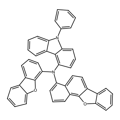 c1ccc(-n2c3ccccc3c3c(N(c4cccc5c4ccc4c6ccccc6oc54)c4cccc5c4oc4ccccc45)cccc32)cc1